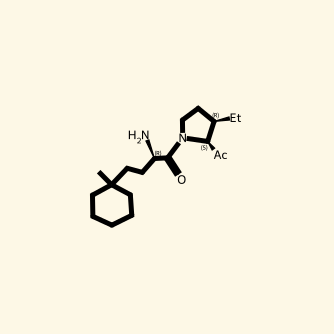 CC[C@@H]1CCN(C(=O)[C@H](N)CCC2(C)CCCCC2)[C@@H]1C(C)=O